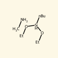 CCCC[SiH](OCC)OCC.CN